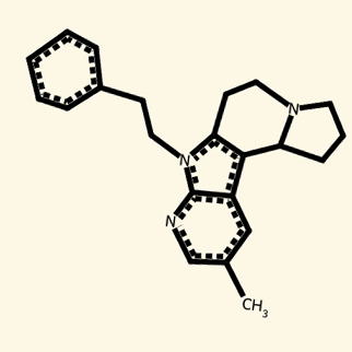 Cc1cnc2c(c1)c1c(n2CCc2ccccc2)CCN2CCCC12